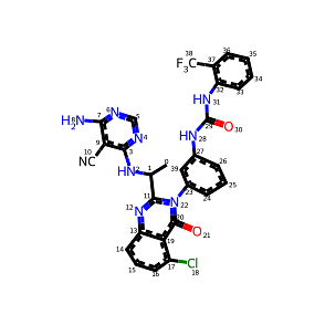 CC(Nc1ncnc(N)c1C#N)c1nc2cccc(Cl)c2c(=O)n1-c1cccc(NC(=O)Nc2ccccc2C(F)(F)F)c1